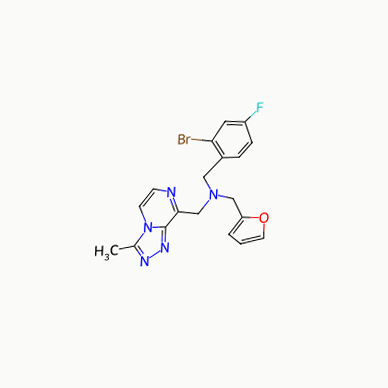 Cc1nnc2c(CN(Cc3ccco3)Cc3ccc(F)cc3Br)nccn12